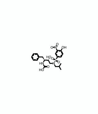 CC(C)CN(C[C@@H](O)[C@H](Cc1ccccc1)NC(=O)O)S(=O)(=O)c1ccc(O)c([N+](=O)[O-])c1